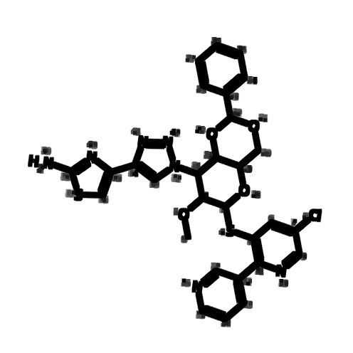 COC1C(Sc2cc(Cl)cnc2-c2cccnc2)OC2COC(c3ccccc3)OC2C1n1cc(-c2csc(N)n2)nn1